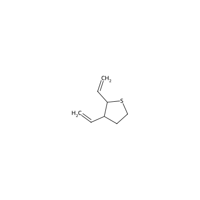 C=CC1CCSC1C=C